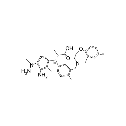 Cc1ccc([C@H](c2ccc(N(C)N)c(N)c2C)C(C)C(=O)O)cc1CN1CCOc2ccc(F)cc2C1